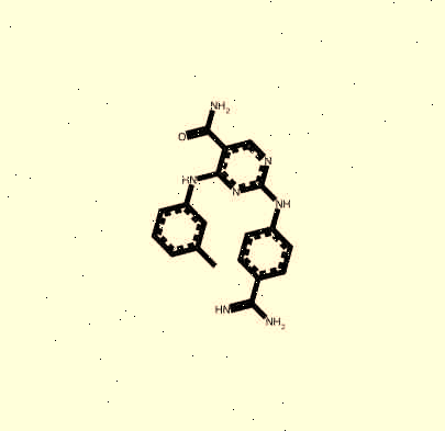 Cc1cccc(Nc2nc(Nc3ccc(C(=N)N)cc3)ncc2C(N)=O)c1